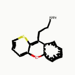 CNCCC1=C2SC=CC=C2Oc2ccccc21